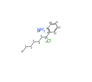 CCCCCCC(Cl)c1ccccc1.N